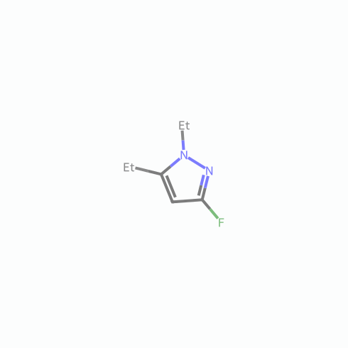 CCc1cc(F)nn1CC